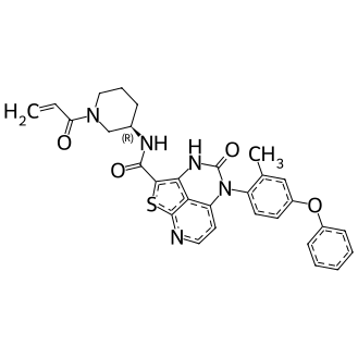 C=CC(=O)N1CCC[C@@H](NC(=O)c2sc3nccc4c3c2NC(=O)N4c2ccc(Oc3ccccc3)cc2C)C1